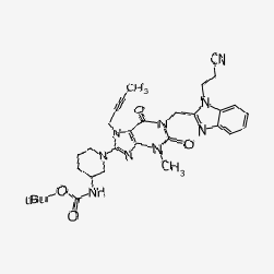 CC#CCn1c(N2CCCC(NC(=O)OC(C)(C)C)C2)nc2c1c(=O)n(Cc1nc3ccccc3n1CCC#N)c(=O)n2C